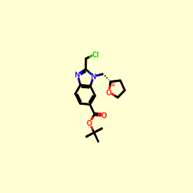 CC(C)(C)OC(=O)c1ccc2nc(CCl)n(C[C@@H]3CCCO3)c2c1